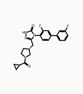 O=C(C1CC1)N1CC[C@@H](Cc2n[nH]c(=O)n2-c2ccc(-c3cccc(F)c3)cc2F)C1